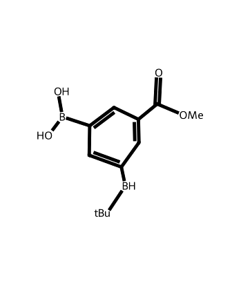 COC(=O)c1cc(BC(C)(C)C)cc(B(O)O)c1